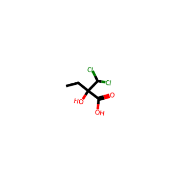 CCC(O)(C(=O)O)C(Cl)Cl